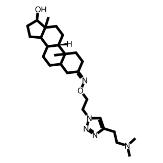 CN(C)CCc1cn(CCON=C2CCC3(C)C(CCC4C5CCC(O)C5(C)CC[C@@H]43)C2)nn1